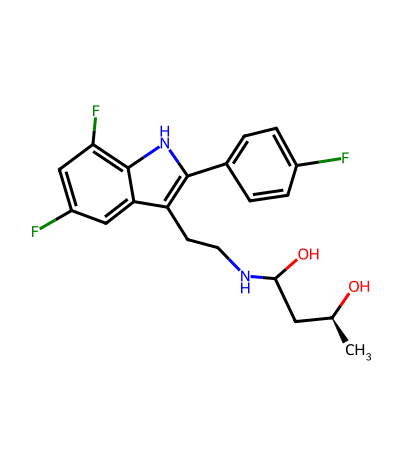 C[C@H](O)CC(O)NCCc1c(-c2ccc(F)cc2)[nH]c2c(F)cc(F)cc12